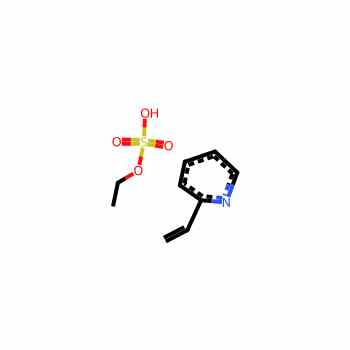 C=Cc1ccccn1.CCOS(=O)(=O)O